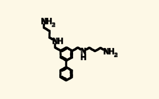 NCCCNCc1cc(CNCCCN)cc(-c2ccccc2)c1